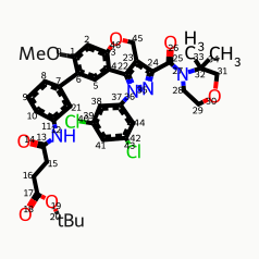 COc1cc2c(cc1-c1cccc(NC(=O)CCC(=O)OC(C)(C)C)c1)-c1c(c(C(=O)N3CCOCC3(C)C)nn1-c1cc(Cl)cc(Cl)c1)CO2